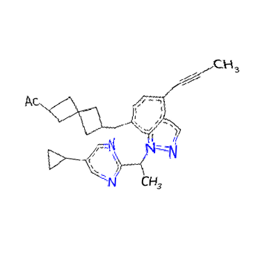 CC#Cc1ccc(CC2CC3(C2)CC(C(C)=O)C3)c2c1cnn2C(C)c1ncc(C2CC2)cn1